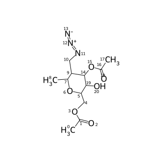 CC(=O)OCC1OC(C)C(CN=[N+]=[N-])C(OC(C)=O)C1O